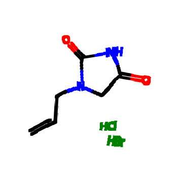 Br.C=CCN1CC(=O)NC1=O.Cl